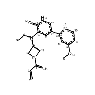 C=CC(=O)N1CC(N(CC)c2cc(-c3cc(OC)ccn3)c[nH]c2=O)C1